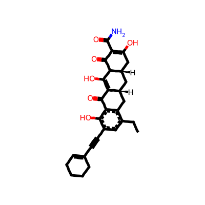 CCc1cc(C#CC2=CCCCC2)c(O)c2c1C[C@H]1C[C@H]3CC(O)=C(C(N)=O)C(=O)C3C(O)=C1C2=O